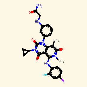 Cc1c(=O)n(C)c(Nc2ccc(I)cc2F)c2c(=O)n(C3CC3)c(=O)n(-c3cccc(NCC(N)=O)c3)c12